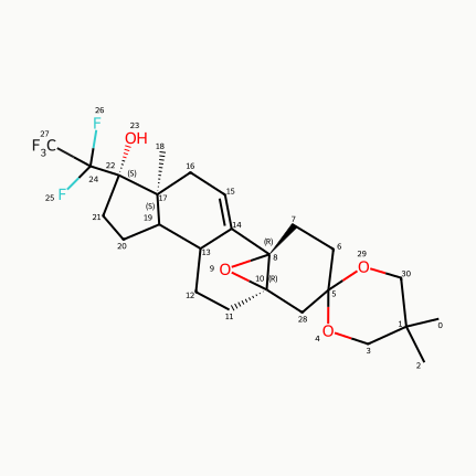 CC1(C)COC2(CC[C@]34O[C@]3(CCC3C4=CC[C@@]4(C)C3CC[C@@]4(O)C(F)(F)C(F)(F)F)C2)OC1